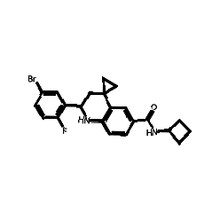 O=C(NC1CCC1)c1ccc2c(c1)C1(CC1)CC(c1cc(Br)ccc1F)N2